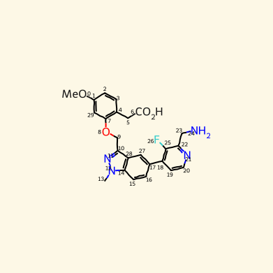 COc1ccc(CC(=O)O)c(OCc2nn(C)c3ccc(-c4ccnc(CN)c4F)cc23)c1